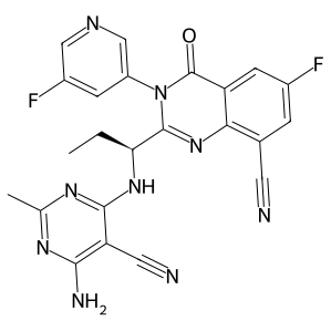 CC[C@H](Nc1nc(C)nc(N)c1C#N)c1nc2c(C#N)cc(F)cc2c(=O)n1-c1cncc(F)c1